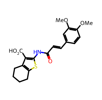 COc1ccc(C=CC(=O)Nc2sc3c(c2C(=O)O)CCCC3)cc1OC